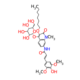 CCCCCCCCOc1c(O[C@H]2O[C@H](CO)[C@@H](O)[C@H](O)[C@@H]2O)c2ccc(NC(=O)/C=C/c3cc(OC)c(O)c(OC)c3)cc2n(C)c1=O